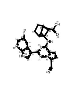 N#Cc1ccc2c(NC3C4CCC(CC4)C3C(=O)O)nc(-c3c[nH]c4ncc(F)cc34)nn12